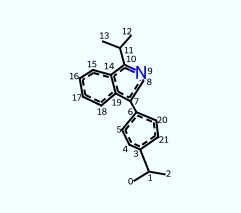 CC(C)c1ccc(-c2cnc(C(C)C)c3ccccc23)cc1